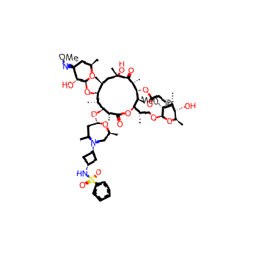 CO/N=C1\C[C@@H](C)O[C@@H](O[C@@H]2[C@@H](C)[C@H](O[C@H]3CC(C)N([C@H]4C[C@H](NS(=O)(=O)c5ccccc5)C4)C[C@H](C)O3)[C@@H](C)C(=O)O[C@H]([C@@H](C)CO[C@@H]3O[C@H](C)[C@@H](O)[C@@H](C)[C@H]3OC)[C@H](C)[C@@H](OC(=O)CC(C)C)[C@@H](C)C(=O)[C@@](C)(O)C[C@@H]2C)[C@@H]1O